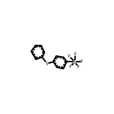 FS(F)(F)(F)(F)c1ccc(Sc2ccccc2)cc1